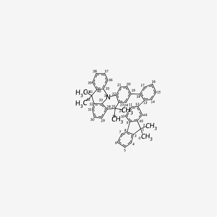 CC1(C)c2ccccc2-c2ccc(-c3ccccc3-c3ccc4c(c3)C(C)(C)c3cccc5c3N4c3ccccc3C5(C)C)cc21